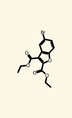 CCOC(=O)c1oc2ccc(Br)cc2c1C(=O)OCC